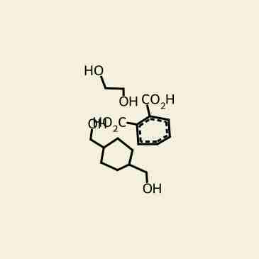 O=C(O)c1ccccc1C(=O)O.OCC1CCC(CO)CC1.OCCO